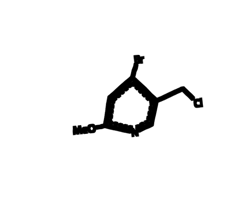 COc1cc(Br)c(CCl)cn1